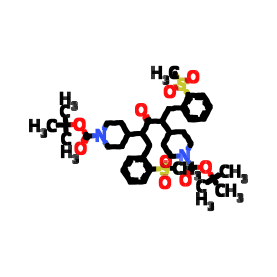 CC(C)(C)OC(=O)N1CCC(C(Cc2ccccc2S(C)(=O)=O)C(=O)C(Cc2ccccc2S(C)(=O)=O)C2CCN(C(=O)OC(C)(C)C)CC2)CC1